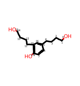 OCCCCc1ccc(O)c(CCCCO)c1